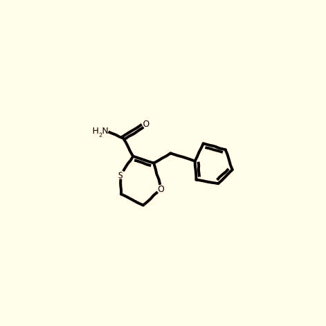 NC(=O)C1=C(Cc2ccccc2)OCCS1